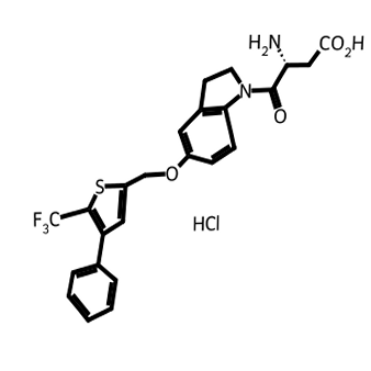 Cl.N[C@H](CC(=O)O)C(=O)N1CCc2cc(OCc3cc(-c4ccccc4)c(C(F)(F)F)s3)ccc21